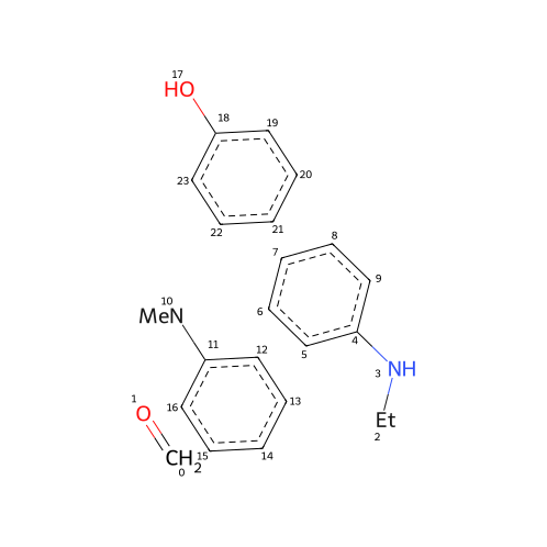 C=O.CCNc1ccccc1.CNc1ccccc1.Oc1ccccc1